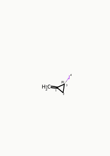 C=C1C[C@H]1I